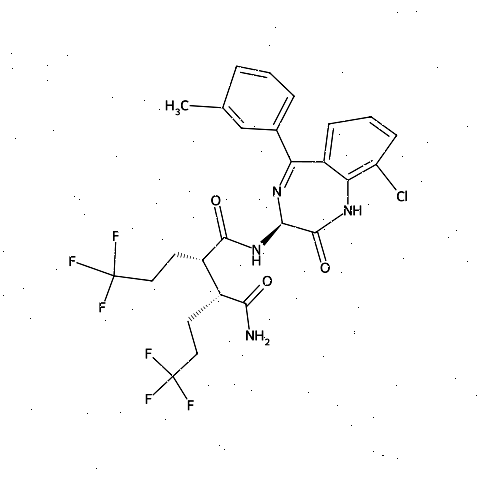 Cc1cccc(C2=N[C@H](NC(=O)[C@@H](CCC(F)(F)F)[C@@H](CCC(F)(F)F)C(N)=O)C(=O)Nc3c(Cl)cccc32)c1